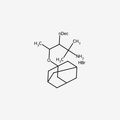 Br.CCCCCCCCCCC(C(C)OC12CC3CC(CC(C3)C1)C2)C(C)(C)N